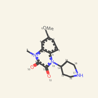 COc1ccc2c(c1)n(C)c(=O)c(=O)n2C1CCNCC1